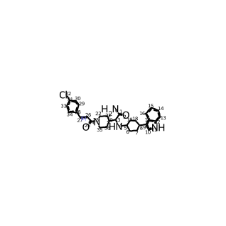 NC(=O)C(NC1CCC(c2c[nH]c3ccccc23)CC1)C1CCN(C(=O)/C=C/c2ccc(Cl)cc2)CC1